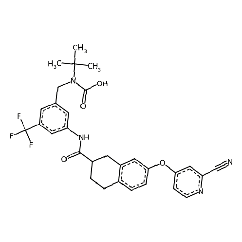 CC(C)(C)N(Cc1cc(NC(=O)C2CCc3ccc(Oc4ccnc(C#N)c4)cc3C2)cc(C(F)(F)F)c1)C(=O)O